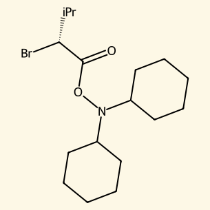 CC(C)[C@@H](Br)C(=O)ON(C1CCCCC1)C1CCCCC1